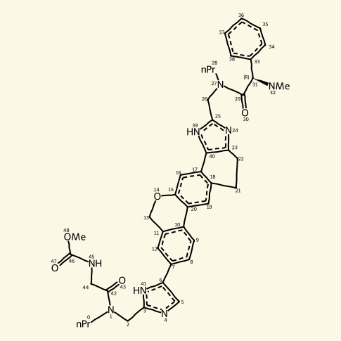 CCCN(Cc1ncc(-c2ccc3c(c2)COc2cc4c(cc2-3)CCc2nc(CN(CCC)C(=O)[C@H](NC)c3ccccc3)[nH]c2-4)[nH]1)C(=O)CNC(=O)OC